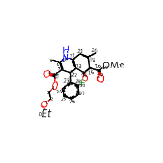 CCOCCOC(=O)C1=C(C)NC2=C(C(=O)C(C(=O)OC)C(C)C2)C1c1ccccc1F